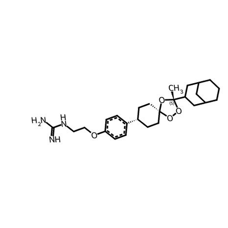 C[C@@]1(C2CC3CCCC(C3)C2)OO[C@]2(CC[C@@H](c3ccc(OCCNC(=N)N)cc3)CC2)O1